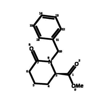 COC(=O)[C@H]1CCCC(=O)N1Cc1ccccc1